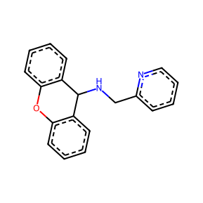 c1ccc(CNC2c3ccccc3Oc3ccccc32)nc1